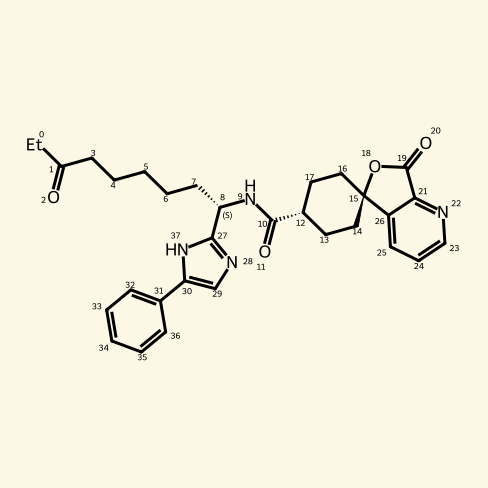 CCC(=O)CCCCC[C@H](NC(=O)[C@H]1CC[C@@]2(CC1)OC(=O)c1ncccc12)c1ncc(-c2ccccc2)[nH]1